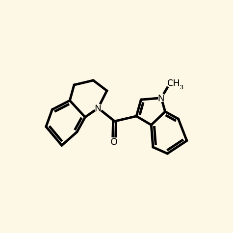 Cn1cc(C(=O)N2CCCc3ccccc32)c2ccccc21